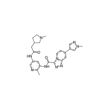 Cc1ncc(NC(=O)CC2CCN(C)C2)cc1NC(=O)c1nnc2cc(-c3cnn(C)c3)ccn12